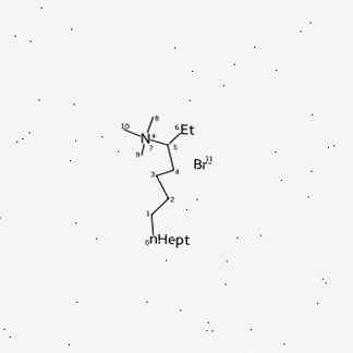 CCCCCCCCCCCC(CC)[N+](C)(C)C.[Br-]